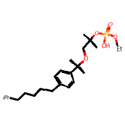 CCOP(=O)(O)OC(C)(C)COC(C)(C)c1ccc(CCCCCC(C)C)cc1